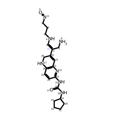 NC/C(=C\NCCCN=O)C1=Cc2nc(NC(=O)NC3CCCC3)ccc2NC1